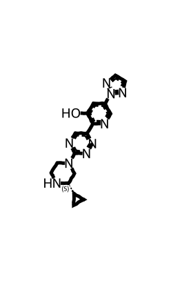 Oc1cc(-n2nccn2)cnc1-c1cnc(N2CCN[C@@H](C3CC3)C2)nn1